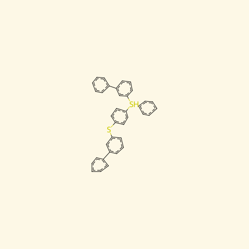 c1ccc(-c2cccc(Sc3ccc([SH](c4ccccc4)c4cccc(-c5ccccc5)c4)cc3)c2)cc1